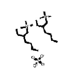 CCCCC(CC)C[N+](C)(C)C.CCCCC(CC)C[N+](C)(C)C.O=S(=O)([O-])[O-]